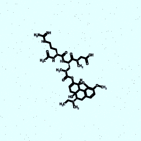 CCN(C)[C@@H]1Cc2ccc(OC)c3c2C2[C@@H](O3)C(OC(=O)N(C)C[C@H](NC(=O)[C@H](CCCNC(=N)N)NC(C)=O)C(=O)N(C)CC(=O)O)=CC[C@]21O